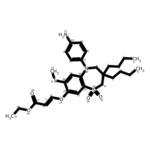 CCCCC1(CCCC)CN(c2ccc(N)cc2)c2cc(SC)c(O/C=C/C(=O)OCC)cc2S(=O)(=O)C1